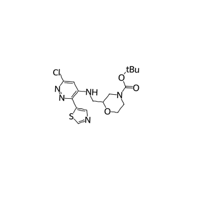 CC(C)(C)OC(=O)N1CCOC(CNc2cc(Cl)nnc2-c2cncs2)C1